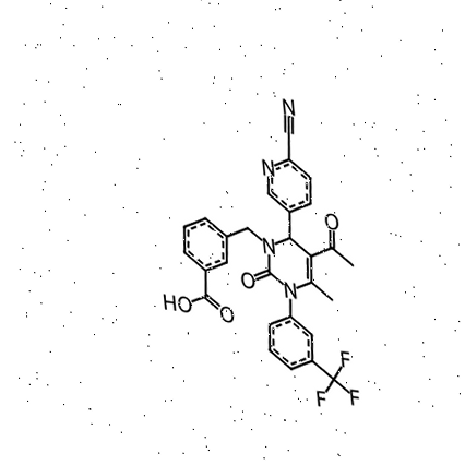 CC(=O)C1=C(C)N(c2cccc(C(F)(F)F)c2)C(=O)N(Cc2cccc(C(=O)O)c2)C1c1ccc(C#N)nc1